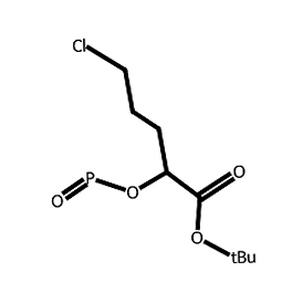 CC(C)(C)OC(=O)C(CCCCl)OP=O